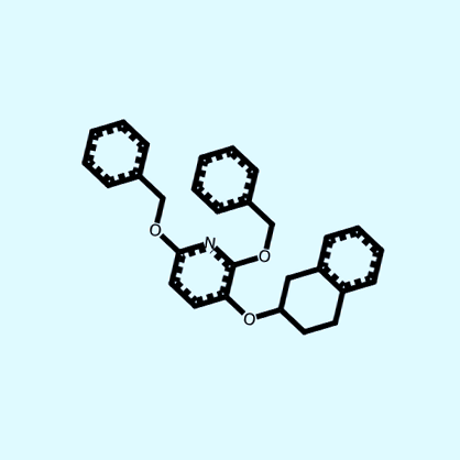 c1ccc(COc2ccc(OC3CCc4ccccc4C3)c(OCc3ccccc3)n2)cc1